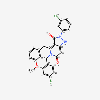 COc1cccc(Cc2c3c(=O)n(-c4cccc(Cl)c4)[nH]c3cc(=O)n2Cc2ccc(Cl)cc2)c1